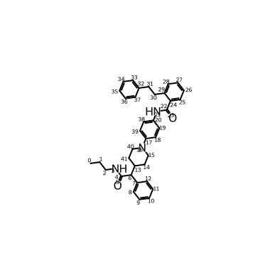 CCCNC(=O)C(c1ccccc1)C1CCN(c2ccc(NC(=O)c3ccccc3CCc3ccccc3)cc2)CC1